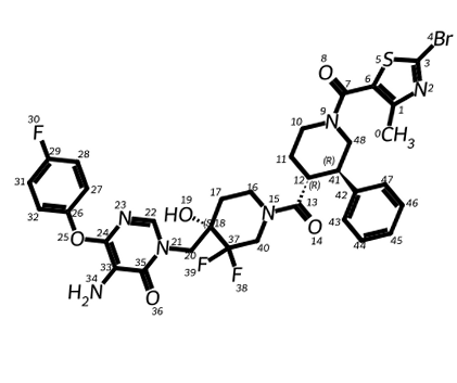 Cc1nc(Br)sc1C(=O)N1CC[C@@H](C(=O)N2CC[C@](O)(Cn3cnc(Oc4ccc(F)cc4)c(N)c3=O)C(F)(F)C2)[C@H](c2ccccc2)C1